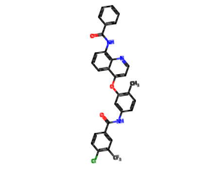 Cc1ccc(NC(=O)c2ccc(Cl)c(C(F)(F)F)c2)cc1Oc1ccnc2c(NC(=O)c3ccccc3)cccc12